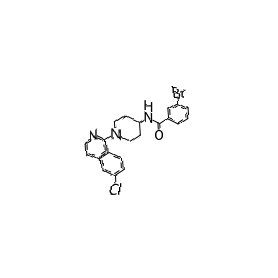 O=C(NC1CCN(c2nccc3cc(Cl)ccc23)CC1)c1cccc(Br)c1